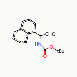 CC(C)(C)OC(=O)NC([C]=O)c1cccc2ccccc12